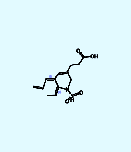 C=C/C=C1/C=C(CCC(=O)O)CN([SH](=O)=O)/C1=C/C